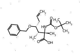 C=CC[C@@H](OCc1ccccc1)[C@@H](C)[C@](C)(NC(=O)OC(C)(C)C)C(=O)O